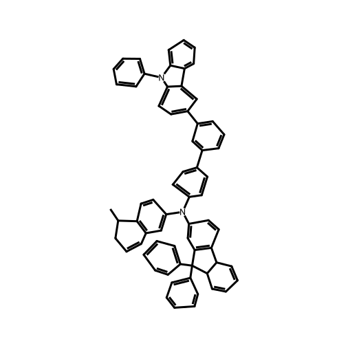 CC1CC=Cc2cc(N(c3ccc(-c4cccc(-c5ccc6c(c5)c5ccccc5n6-c5ccccc5)c4)cc3)c3ccc4c(c3)C(c3ccccc3)(c3ccccc3)C3C=CC=CC43)ccc21